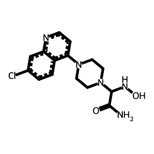 NC(=O)C(NO)N1CCN(c2ccnc3cc(Cl)ccc23)CC1